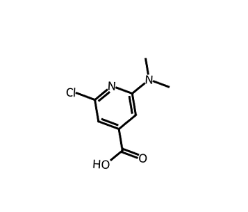 CN(C)c1cc(C(=O)O)cc(Cl)n1